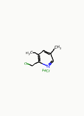 Cc1cnc(CCl)c(C)c1.Cl